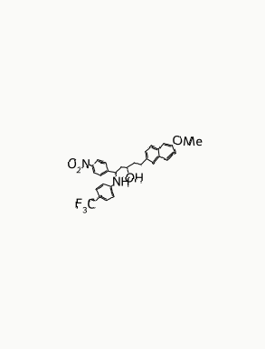 COc1ccc2cc(CCC(O)CC(Nc3ccc(C(F)(F)F)cc3)c3ccc([N+](=O)[O-])cc3)ccc2c1